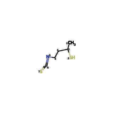 CC(S)CCN=C=S